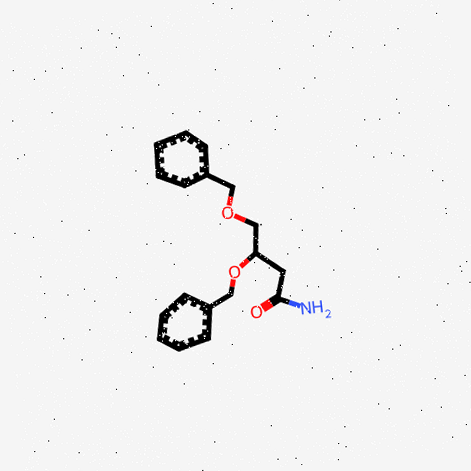 NC(=O)CC([CH]OCc1ccccc1)OCc1ccccc1